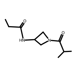 CCC(=O)NC1CN(C(=O)C(C)C)C1